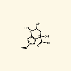 C=Cc1cc2c(s1)[C@@H](O)C(O)C[C@]2(O)C(=O)O